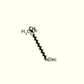 C=C(C)C(=O)OCCCCCCCCCCCCCCCCCCCCCCCCCC